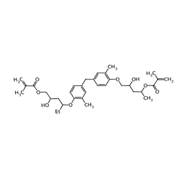 C=C(C)C(=O)OCC(O)CC(CC)Oc1ccc(Cc2ccc(OCC(O)CC(C)OC(=O)C(=C)C)c(C)c2)cc1C